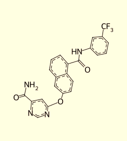 NC(=O)c1cc(Oc2ccc3c(C(=O)Nc4cccc(C(F)(F)F)c4)cccc3c2)ncn1